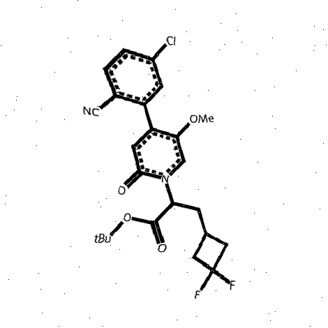 COc1cn(C(CC2CC(F)(F)C2)C(=O)OC(C)(C)C)c(=O)cc1-c1cc(Cl)ccc1C#N